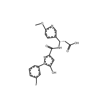 COc1ccc([C@H](CC(=O)O)NC(=O)c2cc(O)n(-c3cccc(F)c3)n2)cn1